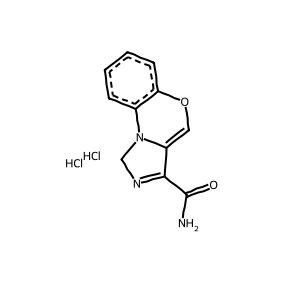 Cl.Cl.NC(=O)C1=NCN2C1=COc1ccccc12